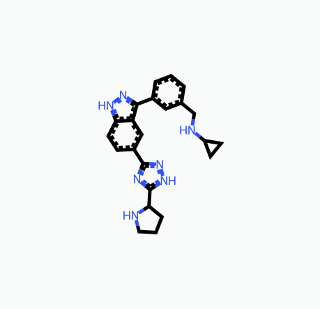 c1cc(CNC2CC2)cc(-c2n[nH]c3ccc(-c4n[nH]c(C5CCCN5)n4)cc23)c1